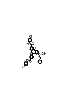 Cl.O=Cc1ccc(OCCN2CCCCC2)cc1-c1c(-c2ccc(C(=O)Nc3ccc(Cl)cc3)cc2)sc2cc(C(=O)Nc3ccc(Cl)cc3)ccc12